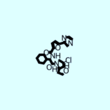 O=C(N[C@H](C(=O)N1C[C@H](Cl)[C@H]2OCC[C@H]21)C1CCCCC1)c1ccc(-c2cnccn2)o1